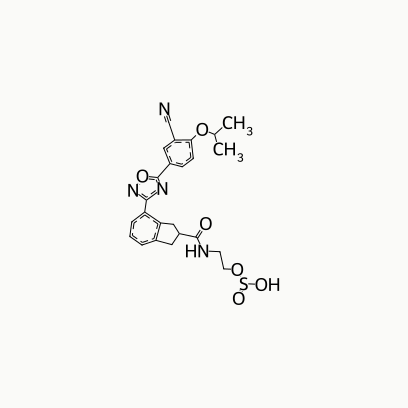 CC(C)Oc1ccc(-c2nc(-c3cccc4c3CC(C(=O)NCCOS(=O)O)C4)no2)cc1C#N